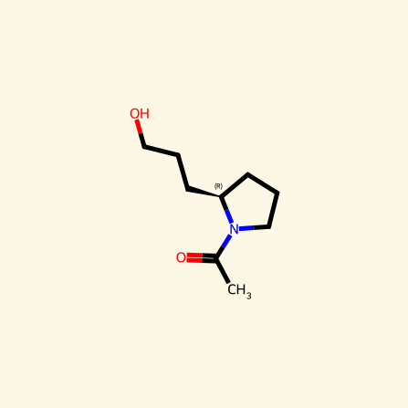 CC(=O)N1CCC[C@@H]1CCCO